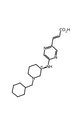 O=C(O)C=Cc1cnc(N[C@@H]2CCCN(CC3CCCCC3)C2)cn1